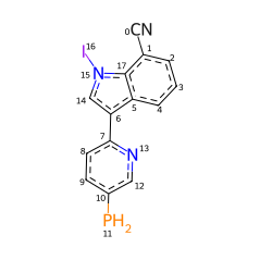 N#Cc1cccc2c(-c3ccc(P)cn3)cn(I)c12